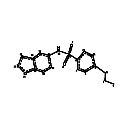 CCCc1ccc(S(=O)(=O)Nc2ccc3oncc3c2)cc1